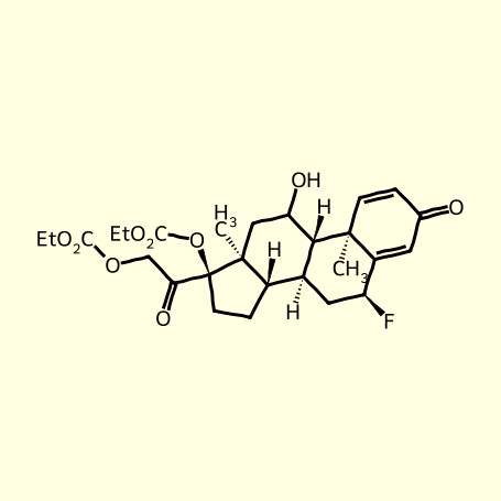 CCOC(=O)OCC(=O)[C@@]1(OC(=O)OCC)CC[C@H]2[C@@H]3C[C@H](F)C4=CC(=O)C=C[C@]4(C)[C@H]3C(O)C[C@@]21C